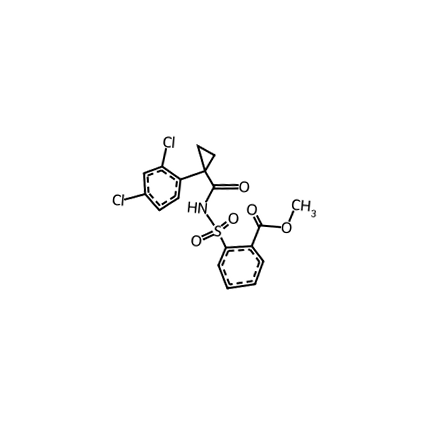 COC(=O)c1ccccc1S(=O)(=O)NC(=O)C1(c2ccc(Cl)cc2Cl)CC1